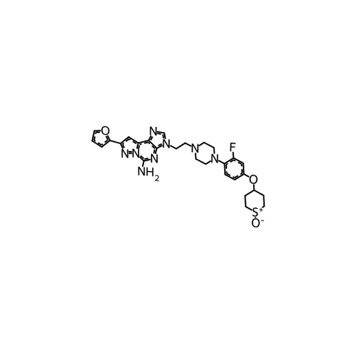 Nc1nc2c(ncn2CCN2CCN(c3ccc(OC4CC[S+]([O-])CC4)cc3F)CC2)c2cc(-c3ccco3)nn12